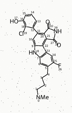 CNCCCCc1cc2[nH]c3cc(-c4cccc(O)c4Cl)c4c(c3c2cc1F)C(=O)NC4=O